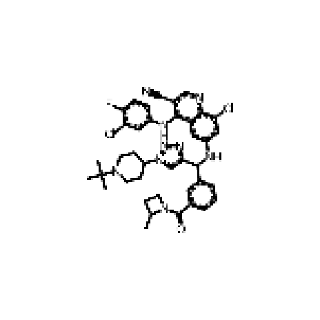 CC1CCN1C(=O)c1cccc(C(Nc2cc(Cl)c3ncc(C#N)c(Nc4ccc(F)c(Cl)c4)c3c2)c2cn(C3CCN(C(C)(C)C)CC3)nn2)c1